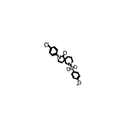 COc1ccc(S(=O)(=O)N2CCCC3(CCN(c4ccc(Cl)cc4)C3=O)C2)cc1